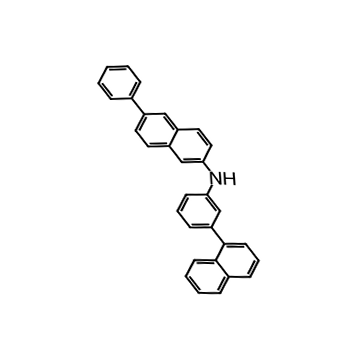 c1ccc(-c2ccc3cc(Nc4cccc(-c5cccc6ccccc56)c4)ccc3c2)cc1